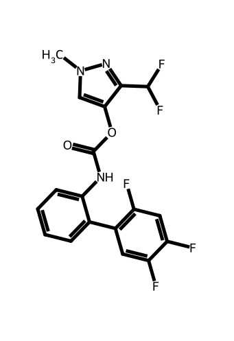 Cn1cc(OC(=O)Nc2ccccc2-c2cc(F)c(F)cc2F)c(C(F)F)n1